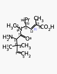 C=CC(C)(C)C(N)C(=O)N(C)[C@H](/C=C(\C)C(=O)O)C(C)C